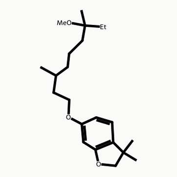 CCC(C)(CCCC(C)CCOc1ccc2c(c1)OCC2(C)C)OC